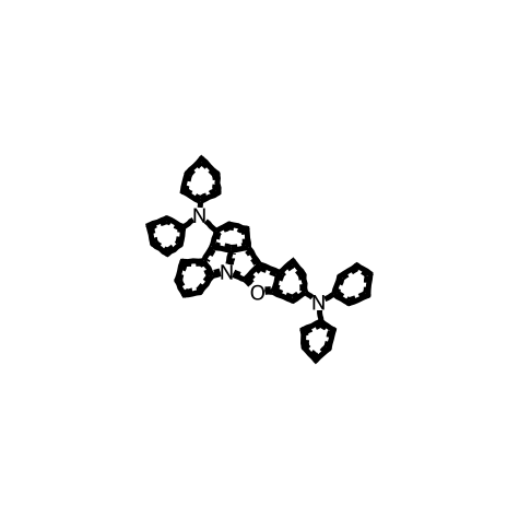 c1ccc(N(c2ccccc2)c2ccc3c(c2)oc2c3c3ccc(N(c4ccccc4)c4ccccc4)c4c5ccccc5n2c34)cc1